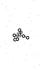 c1ccc(-c2ccc(-c3nc(N4c5ccccc5-c5cccc6cccc4c56)nc4c3oc3ccccc34)cc2)cc1